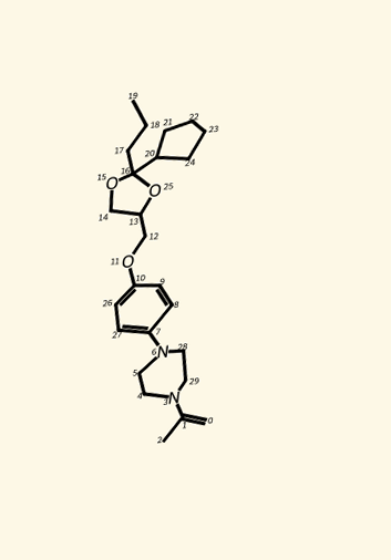 C=C(C)N1CCN(c2ccc(OCC3COC(CCC)(C4CCCC4)O3)cc2)CC1